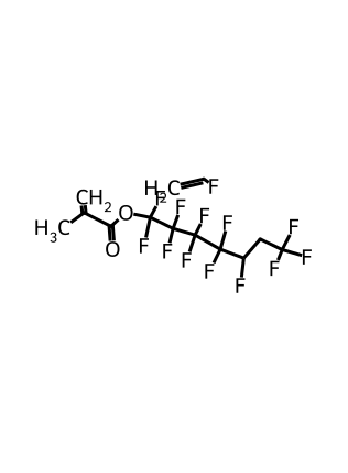 C=C(C)C(=O)OC(F)(F)C(F)(F)C(F)(F)C(F)(F)C(F)CC(F)(F)F.C=CF